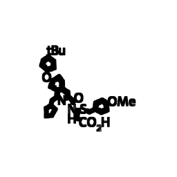 COc1ccc(CSC(CC(=O)O)NC(=O)c2cc3ccc(Oc4ccc(C(C)(C)C)cc4)cc3c(CC3CCCC3)n2)cc1